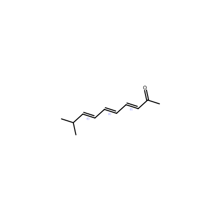 CC(=O)/C=C/C=C/C=C/C(C)C